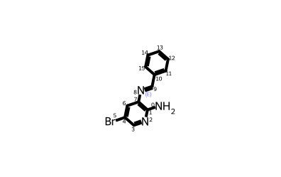 Nc1ncc(Br)cc1/N=C/c1ccccc1